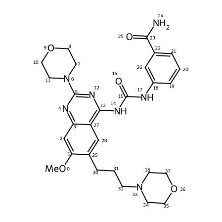 COc1cc2nc(N3CCOCC3)nc(NC(=O)Nc3cccc(C(N)=O)c3)c2cc1CCCN1CCOCC1